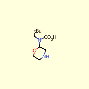 CC(C)(C)CN(C(=O)O)C1CNCCO1